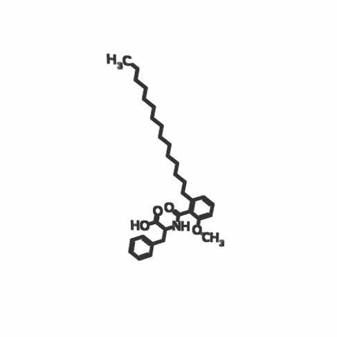 CCCCCCCCCCCCCCCc1cccc(OC)c1C(=O)NC(Cc1ccccc1)C(=O)O